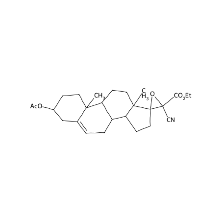 CCOC(=O)C1(C#N)OC12CCC1C3CC=C4CC(OC(C)=O)CCC4(C)C3CCC12C